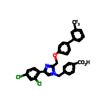 O=C(O)c1ccc(Cn2cc(-c3ccc(Cl)cc3Cl)nc2COc2ccc(-c3cccc(C(F)(F)F)c3)cc2)cc1